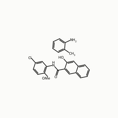 COc1ccc(Cl)cc1NC(=O)c1cc2ccccc2cc1O.Cc1ccccc1N